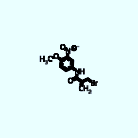 C=C(CBr)C(=O)Nc1ccc(OC)c([N+](=O)[O-])c1